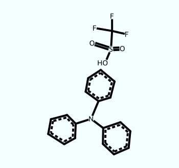 O=S(=O)(O)C(F)(F)F.c1ccc(N(c2ccccc2)c2ccccc2)cc1